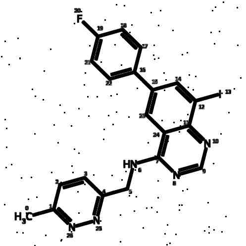 Cc1ccc(CNc2ncnc3c(I)cc(-c4ccc(F)cc4)cc23)nn1